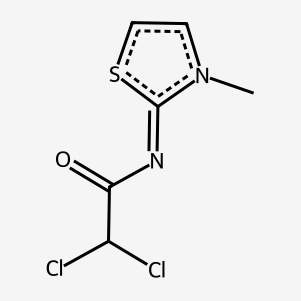 Cn1ccsc1=NC(=O)C(Cl)Cl